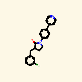 O=C1C(Cc2cccc(Cl)c2)CCN1c1ccc(-c2ccncc2)cc1